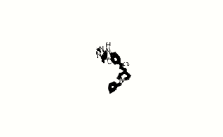 Cc1ncnc(Nc2ccc(C(=O)/C=C/C3CCN(Cc4ccccc4)CC3)cc2)c1Cl